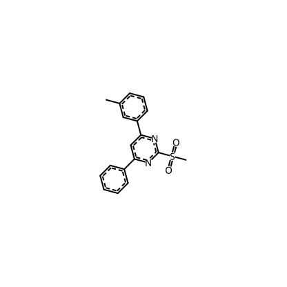 Cc1cccc(-c2cc(-c3ccccc3)nc(S(C)(=O)=O)n2)c1